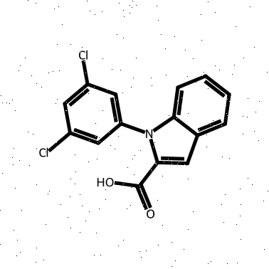 O=C(O)c1cc2ccccc2n1-c1cc(Cl)cc(Cl)c1